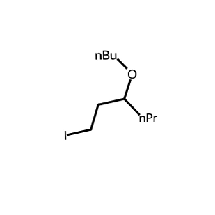 CCCCOC(CCC)CCI